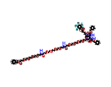 O=C(CCOCCOCCOCCOCCNC(=O)CCOCCOCCOCCOCCNC(=O)C(NC(=O)OCc1ccccc1)C(NC(=O)OCc1ccccc1)C(=O)NCCCC(=O)Oc1c(F)c(F)c(F)c(F)c1F)NCCOCCOCCOCCOCCC(=O)OCc1ccccc1